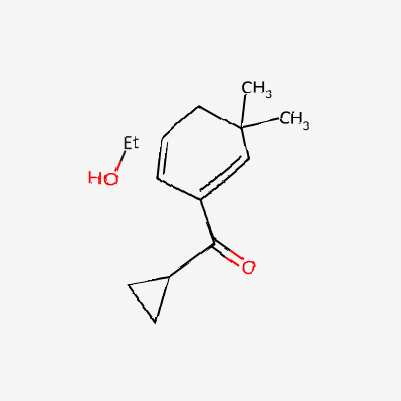 CC1(C)C=C(C(=O)C2CC2)C=CC1.CCO